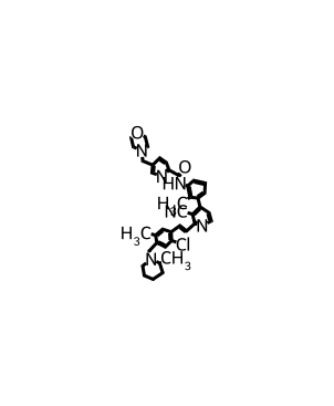 Cc1cc(/C=C/c2nccc(-c3cccc(NC(=O)c4ccc(CN5CCOCC5)cn4)c3C)c2C#N)c(Cl)cc1CN1CCCC[C@H]1C